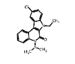 CCn1c2ccc(Cl)cc2c2c3ccccc3n(N(C)C)c(=O)c21